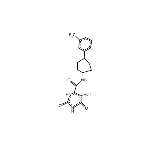 O=C(N[C@H]1CC[C@H](c2cccc(C(F)(F)F)c2)CC1)c1[nH]c(=O)[nH]c(=O)c1O